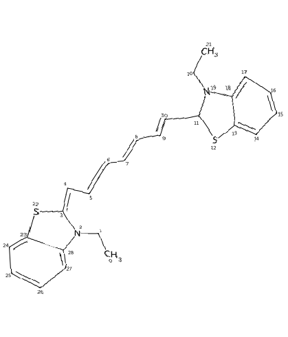 CCN1C(=CC=CC=CC=CC2Sc3ccccc3N2CC)Sc2ccccc21